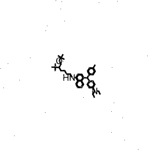 CCN(CC)c1ccc(C(c2ccc(C)cc2)c2ccc(NCCCCC(COC(C)(C)C)C(C)(C)C)c3ccccc23)cc1